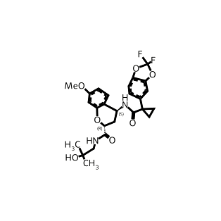 COc1ccc2c(c1)O[C@@H](C(=O)NCC(C)(C)O)C[C@@H]2NC(=O)C1(c2ccc3c(c2)OC(F)(F)O3)CC1